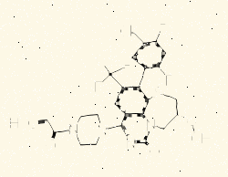 C=CC(=O)N1CCN(c2nc(=O)n3c4c(c(-c5cc(Cl)c(F)cc5F)c(C(F)(F)F)cc24)SC[C@@H](OC)C3)CC1